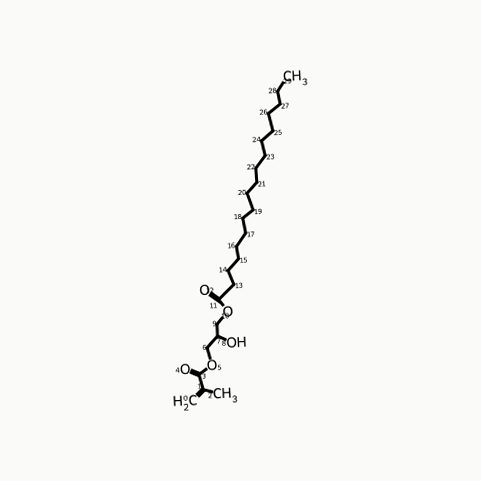 C=C(C)C(=O)OCC(O)COC(=O)CCCCCCCCCCCCCCCCC